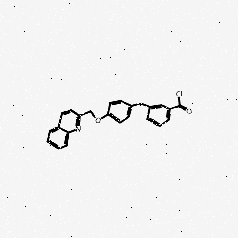 O=C(Cl)c1cccc(Cc2ccc(OCc3ccc4ccccc4n3)cc2)c1